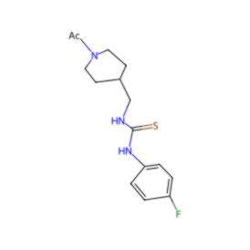 CC(=O)N1CCC(CNC(=S)Nc2ccc(F)cc2)CC1